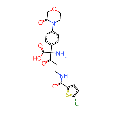 NC(C(=O)O)(C(=O)CCNC(=O)c1ccc(Cl)s1)c1ccc(N2CCOCC2=O)cc1